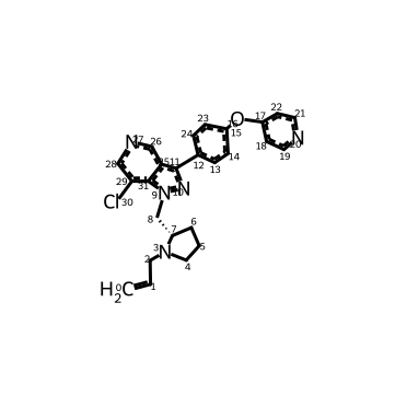 C=CCN1CCC[C@H]1Cn1nc(-c2ccc(Oc3ccncc3)cc2)c2cncc(Cl)c21